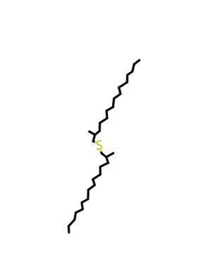 CCCCCCCCCCCCCC(C)CSCC(C)CCCCCCCCCCCCC